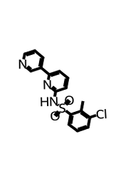 Cc1c(Cl)cccc1S(=O)(=O)Nc1cccc(-c2cccnc2)n1